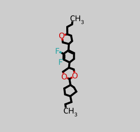 CCCC1CCC(C2OCC(C3CC=C(C4CCC(CCC)OC4)C(F)=C3F)CO2)CC1